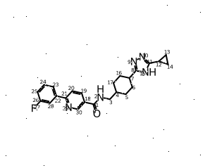 O=C(NCC1CCC(c2nnc(C3CC3)[nH]2)CC1)c1ccc(-c2cccc(F)c2)nc1